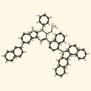 CCC1C(c2ccc(-n3c4cc5ccccc5cc4c4c5ccccc5ccc43)c3ccccc23)=Nc2c(sc3ccc(-c4ccc5ccccc5c4)cc23)C1c1ccccc1